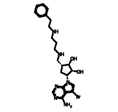 Nc1ncnc2c1c(Br)cn2[C@@H]1C[C@H](CNCCCNCCc2ccccc2)[C@@H](O)[C@H]1O